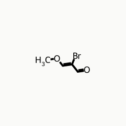 COC=C(Br)C=O